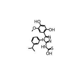 COc1cc(-c2nnc(NC(O)=S)n2-c2cccc(C(C)C)c2)c(O)cc1O